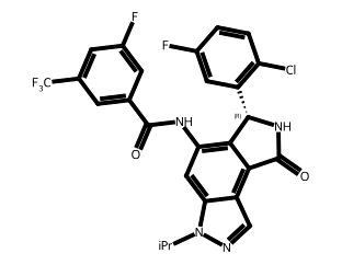 CC(C)n1ncc2c3c(c(NC(=O)c4cc(F)cc(C(F)(F)F)c4)cc21)[C@H](c1cc(F)ccc1Cl)NC3=O